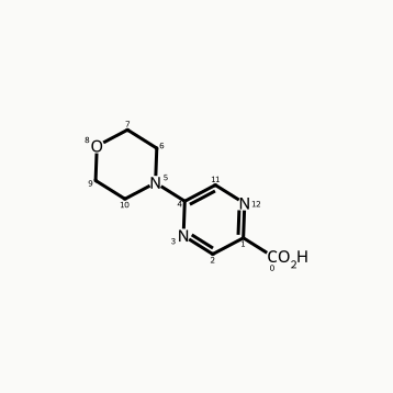 O=C(O)c1cnc(N2CCOCC2)cn1